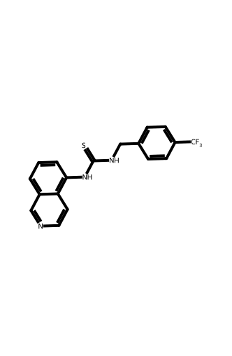 FC(F)(F)c1ccc(CNC(=S)Nc2cccc3cnccc23)cc1